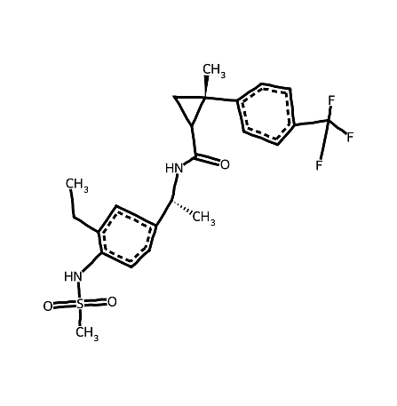 CCc1cc([C@@H](C)NC(=O)C2C[C@]2(C)c2ccc(C(F)(F)F)cc2)ccc1NS(C)(=O)=O